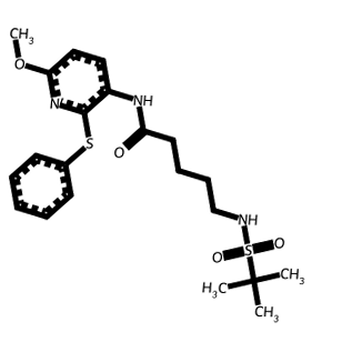 COc1ccc(NC(=O)CCCCNS(=O)(=O)C(C)(C)C)c(Sc2ccccc2)n1